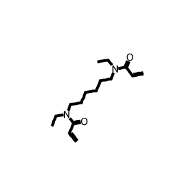 C=CC(=O)N(CC)CCCCCCN(CC)C(=O)C=C